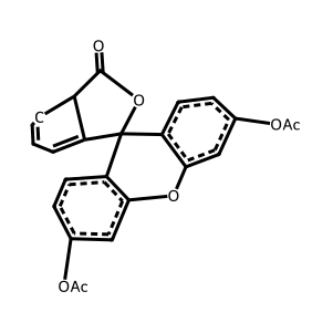 CC(=O)Oc1ccc2c(c1)Oc1cc(OC(C)=O)ccc1C21OC(=O)C2CC=CC=C21